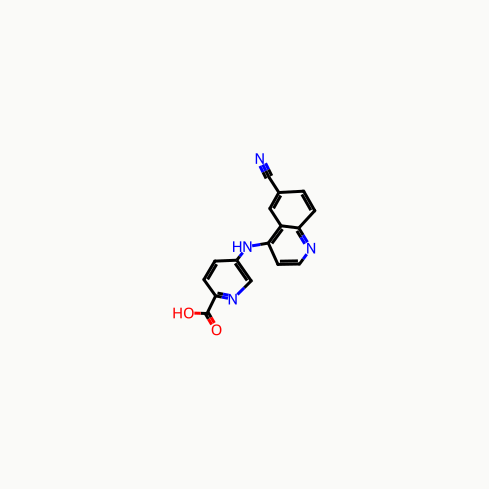 N#Cc1ccc2nccc(Nc3ccc(C(=O)O)nc3)c2c1